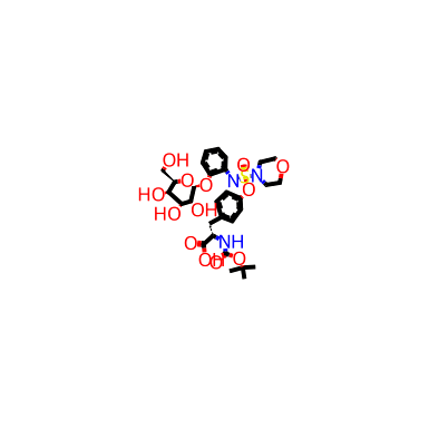 CC(C)(C)OC(=O)N[C@@H](Cc1ccc(OS(=O)(=Nc2ccccc2O[C@@H]2O[C@H](CO)[C@H](O)[C@H](O)[C@H]2O)N2CCOCC2)cc1)C(=O)O